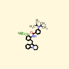 CC(C)N(c1cccc(C(=O)Nc2ccccc2Cc2c3n(c4ccccc24)CCCC3)c1)C(C)C.Cl.Cl.Cl